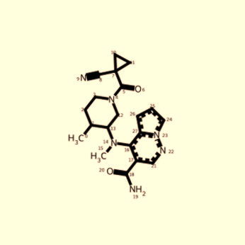 CC1CCN(C(=O)C2(C#N)CC2)CC1N(C)c1c(C(N)=O)cnn2cccc12